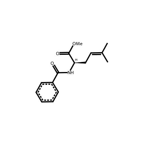 COC(=O)[C@@H](CC=C(C)C)NC(=O)c1ccccc1